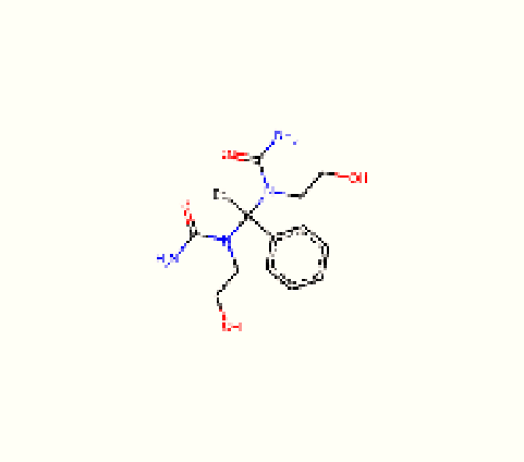 [CH2]CC(c1ccccc1)(N(CCO)C(N)=O)N(CCO)C(N)=O